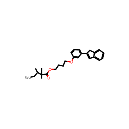 CC(CC(C)(C)C)C(C)(C)C(=O)OCCCCOc1cccc(C2=Cc3ccccc3C2)c1